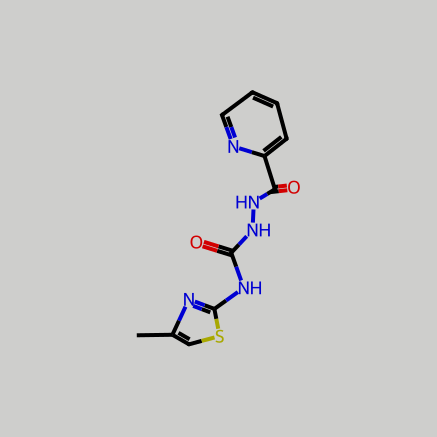 Cc1csc(NC(=O)NNC(=O)c2ccccn2)n1